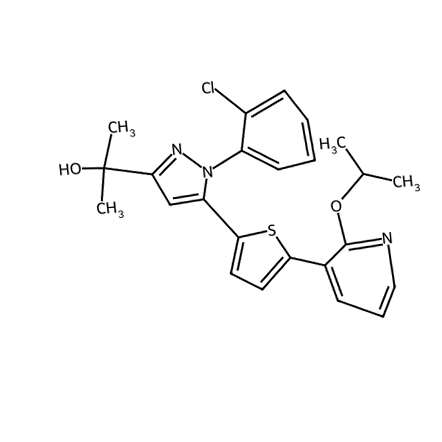 CC(C)Oc1ncccc1-c1ccc(-c2cc(C(C)(C)O)nn2-c2ccccc2Cl)s1